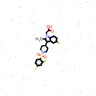 Cc1c(C2CCN(S(=O)(=O)c3ccc(F)cc3F)CC2)c2cc(F)ccc2n1CC(=O)O